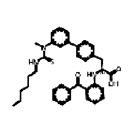 CCCCCCNC(=S)N(C)c1cccc(-c2ccc(C[C@H](Nc3ccccc3C(=O)c3ccccc3)C(=O)O)cc2)c1